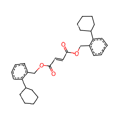 O=C(/C=C/C(=O)OCc1ccccc1C1CCCCC1)OCc1ccccc1C1CCCCC1